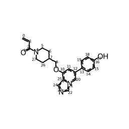 C=CC(=O)N1CCC(COc2cc(-c3ccc(O)cc3)cn3cncc23)CC1